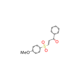 COc1ccc(S(=O)(=O)/C=C/C(=O)c2ccccc2)cc1